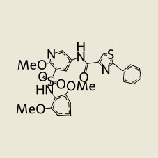 COc1cccc(OC)c1NS(=O)(=O)c1cc(NC(=O)c2csc(-c3ccccc3)n2)cnc1OC